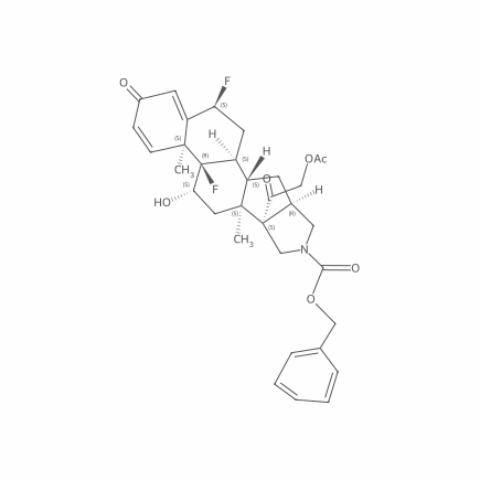 CC(=O)OCC(=O)[C@@]12CN(C(=O)OCc3ccccc3)C[C@@H]1C[C@H]1[C@@H]3C[C@H](F)C4=CC(=O)C=C[C@]4(C)[C@@]3(F)[C@@H](O)C[C@@]12C